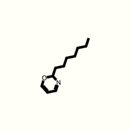 CCCCCCCC1N=CC=CO1